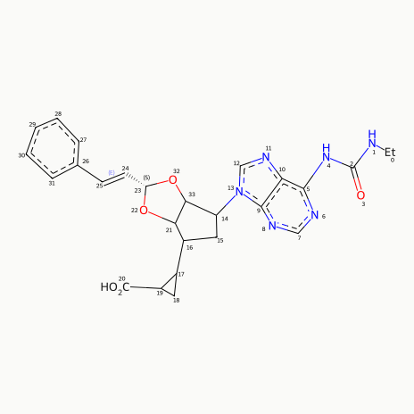 CCNC(=O)Nc1ncnc2c1ncn2C1CC(C2CC2C(=O)O)C2O[C@H](/C=C/c3ccccc3)OC21